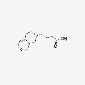 O=C(O)CCCC1CCc2ccccc2C1